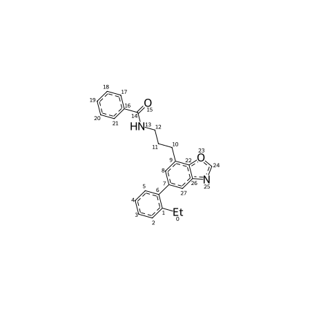 CCc1ccccc1-c1cc(CCCNC(=O)c2ccccc2)c2ocnc2c1